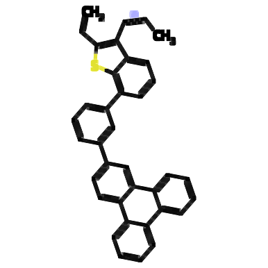 C=Cc1sc2c(-c3cccc(-c4ccc5c6ccccc6c6ccccc6c5c4)c3)cccc2c1/C=C\C